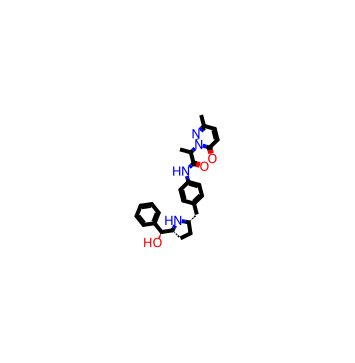 Cc1ccc(=O)n(C(C)C(=O)Nc2ccc(C[C@@H]3CC[C@H]([C@H](O)c4ccccc4)N3)cc2)n1